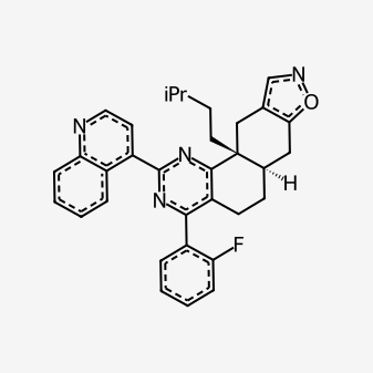 CC(C)CC[C@@]12Cc3cnoc3C[C@H]1CCc1c(-c3ccccc3F)nc(-c3ccnc4ccccc34)nc12